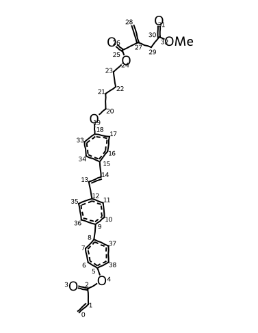 C=CC(=O)Oc1ccc(-c2ccc(/C=C/c3ccc(OCCCCOC(=O)C(=C)CC(=O)OC)cc3)cc2)cc1